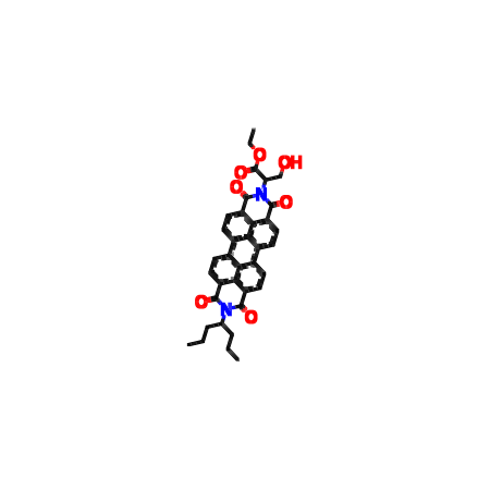 CCCC(CCC)N1C(=O)c2ccc3c4ccc5c6c(ccc(c7ccc(c2c37)C1=O)c64)C(=O)N(C(CO)C(=O)OCC)C5=O